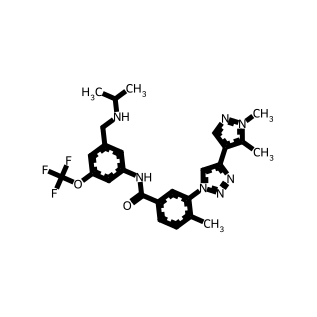 Cc1ccc(C(=O)Nc2cc(CNC(C)C)cc(OC(F)(F)F)c2)cc1-n1cc(-c2cnn(C)c2C)nn1